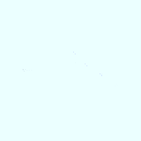 COc1ccc(CN2CCN(c3cccc(Br)n3)C2=O)cc1